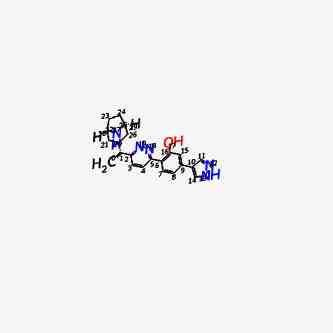 C=C(c1ccc(-c2ccc(-c3cn[nH]c3)cc2O)nn1)[C@@H]1C[C@H]2CC[C@@H](C1)N2